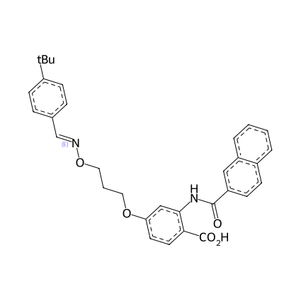 CC(C)(C)c1ccc(/C=N/OCCCOc2ccc(C(=O)O)c(NC(=O)c3ccc4ccccc4c3)c2)cc1